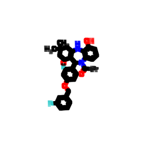 CC(C)C(=O)N1c2cccc(O)c2NC2=C(C(=O)CC(C)(C)C2)C1c1ccc(OCc2cccc(F)c2)cc1F